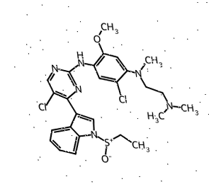 CC[S+]([O-])n1cc(-c2nc(Nc3cc(Cl)c(N(C)CCN(C)C)cc3OC)ncc2Cl)c2ccccc21